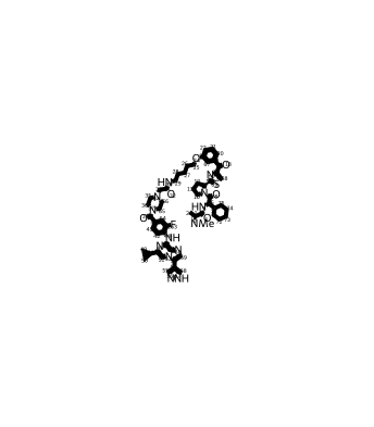 CN[C@@H](C)C(=O)NC(C(=O)N1CCC[C@H]1c1nc(C(=O)c2cccc(OCCCCCNC(=O)CN3CCN(C(=O)c4ccc(Nc5nc(C6CC6)cn6c(-c7cn[nH]c7)cnc56)c(F)c4)CC3)c2)cs1)C1CCCCC1